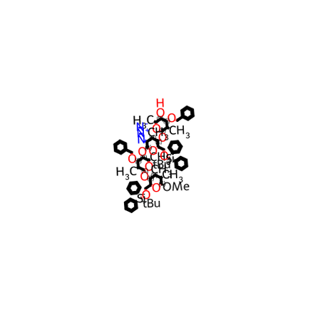 CO[C@H]1OC(CO[Si](c2ccccc2)(c2ccccc2)C(C)(C)C)[C@H](O[C@@H]2OC(C)[C@@H](O[C@H]3OC(CO[Si](c4ccccc4)(c4ccccc4)C(C)(C)C)[C@H](O[C@@H]4OC(C)[C@@H](O)[C@@H](OCc5ccccc5)C4C)[C@H](C)C3N=[N+]=[N-])[C@@H](OCc3ccccc3)C2C)[C@H](C)C1C